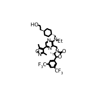 CCN(C[C@H]1CC[C@H](CCO)CC1)c1ncc(-c2c(C)noc2C)nc1CN1C(=O)OC(c2cc(C(F)(F)F)cc(C(F)(F)F)c2)[C@@H]1C